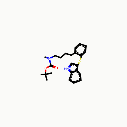 CN(CCCCc1ccccc1Sc1c[nH]c2ccccc12)C(=O)OC(C)(C)C